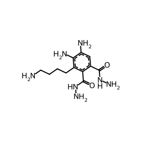 NCCCCc1c(N)c(N)cc(C(=O)NN)c1C(=O)NN